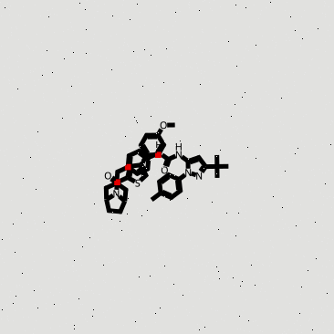 COc1ccc(-c2csc(C(=O)N3C4CCC3CC(Cc3ccc(NC(=O)Nc5cc(C(C)(C)C)nn5-c5ccc(C)cc5)cc3)C4)c2)cc1